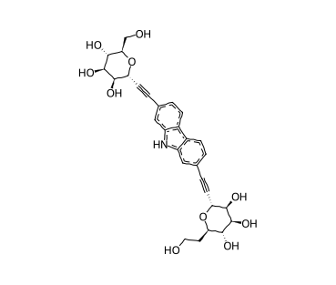 OCC[C@H]1O[C@H](C#Cc2ccc3c(c2)[nH]c2cc(C#C[C@H]4O[C@H](CO)[C@@H](O)[C@H](O)[C@@H]4O)ccc23)[C@@H](O)[C@@H](O)[C@@H]1O